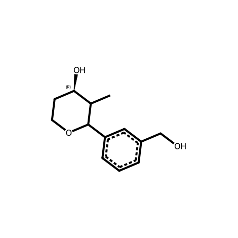 CC1C(c2cccc(CO)c2)OCC[C@H]1O